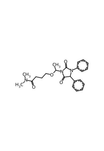 CC(OCCCC(=O)N(C)C)N1C(=O)C(c2ccccc2)N(c2ccccc2)C1=O